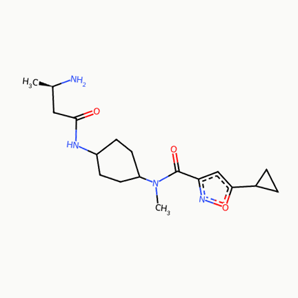 C[C@@H](N)CC(=O)NC1CCC(N(C)C(=O)c2cc(C3CC3)on2)CC1